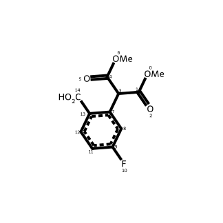 COC(=O)C(C(=O)OC)c1cc(F)ccc1C(=O)O